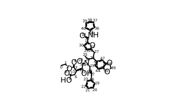 CCOC(=O)C(CC(=O)O)=C(O)C(=O)N(C/C=C/c1ccccc1)C(C)C(Cc1ccc(C(=O)Nc2ccccc2)o1)c1ccc2c(c1)OCO2